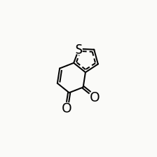 O=C1C=Cc2sccc2C1=O